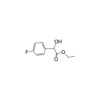 CCOC(=O)C(O)c1ccc(F)cc1